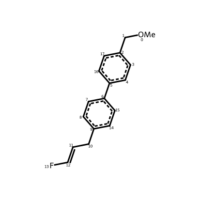 COCc1ccc(-c2ccc(CC=CF)cc2)cc1